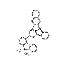 CC1(C)c2ccccc2-c2c(-c3cc4c5ccccc5n5c6nc7ccccc7nc6c(c3)c45)cccc21